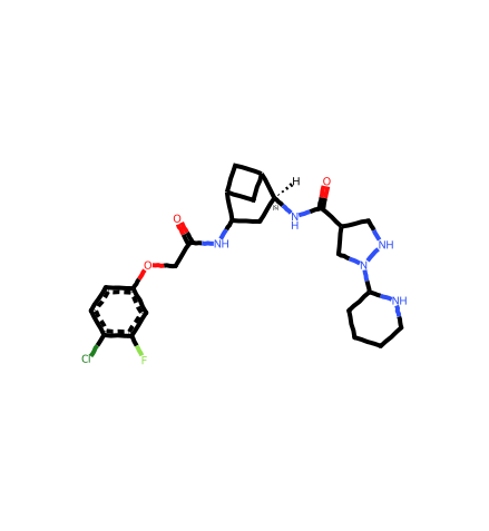 O=C(COc1ccc(Cl)c(F)c1)NC1C[C@H](NC(=O)C2CNN(C3CCCCN3)C2)C2CC1C2